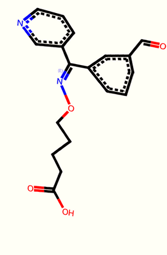 O=Cc1cccc(/C(=N\OCCCCC(=O)O)c2cccnc2)c1